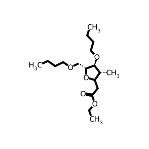 CCCCOC[C@H]1OC(CC(=O)OCC)[C@@H](C)[C@@H]1OCCCC